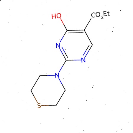 CCOC(=O)c1cnc(N2CCSCC2)nc1O